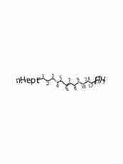 CCCCCCCCCCCCCCCCCCC[PH]